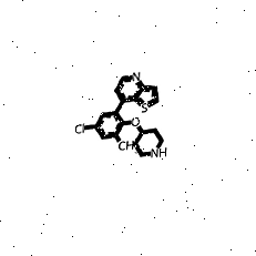 Cc1cc(Cl)cc(-c2ccnc3ccsc23)c1OC1CCNCC1